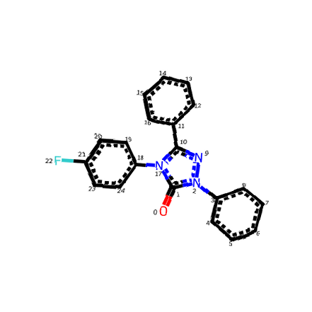 O=c1n(-c2ccccc2)nc(-c2ccccc2)n1-c1ccc(F)cc1